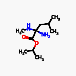 CN[C@](N)(CC(C)C)C(=O)OC(C)C